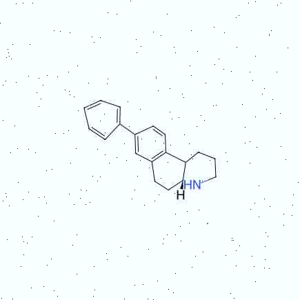 c1ccc(-c2ccc3c(c2)CC[C@H]2NCCCC32)cc1